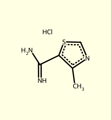 Cc1ncsc1C(=N)N.Cl